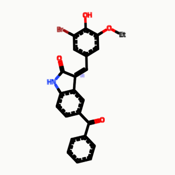 CCOc1cc(/C=C2\C(=O)Nc3ccc(C(=O)c4ccccc4)cc32)cc(Br)c1O